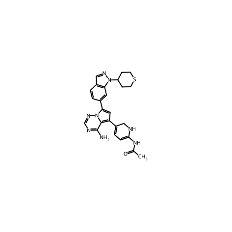 CC(=O)NC1=CC=C(c2cc(-c3ccc4cnn(C5CCSCC5)c4c3)n3ncnc(N)c23)CN1